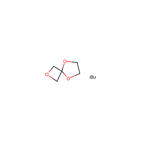 CC[C@H](C)C1COC2(COC2)O1